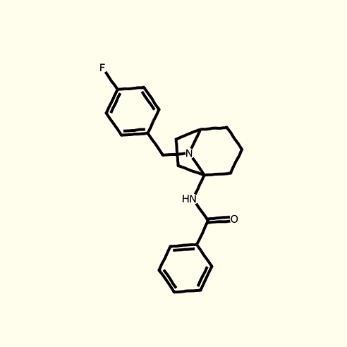 O=C(NC12CCCC(CC1)N2Cc1ccc(F)cc1)c1ccccc1